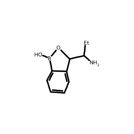 CCC(N)C1OB(O)c2ccccc21